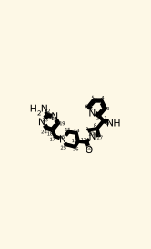 N=C(c1ccccn1)C1CN(C(=O)C2CCN(Cc3cnc(N)nc3)CC2)C1